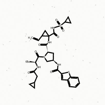 C=CC1CC1(NC(=O)[C@@H]1C[C@@H](NC(=O)c2cc3ccccc3s2)CN1C(=O)[C@@H](NC(=O)CC1CC1)C(C)(C)C)C(=O)NS(=O)(=O)C1CC1